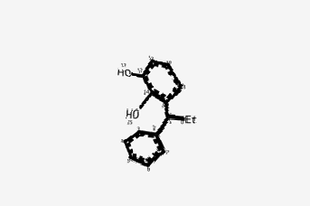 CCC(c1ccccc1)c1cccc(O)c1O